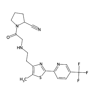 Cc1sc(-c2ccc(C(F)(F)F)cn2)nc1CCNCC(=O)N1CCCC1C#N